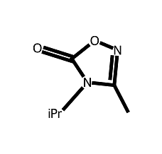 Cc1noc(=O)n1C(C)C